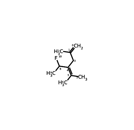 C=C(C)CC(=C(C)C)C(C)F